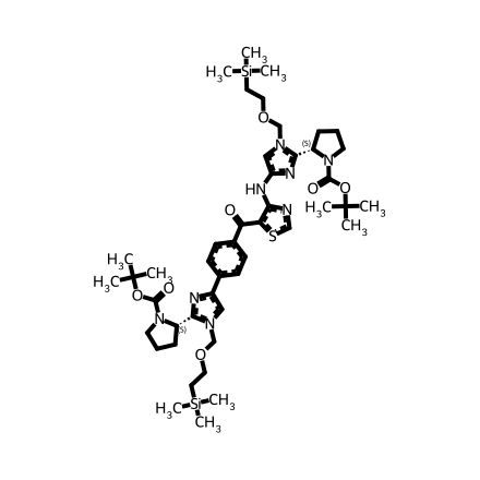 CC(C)(C)OC(=O)N1CCC[C@H]1c1nc(Nc2ncsc2C(=O)c2ccc(-c3cn(COCC[Si](C)(C)C)c([C@@H]4CCCN4C(=O)OC(C)(C)C)n3)cc2)cn1COCC[Si](C)(C)C